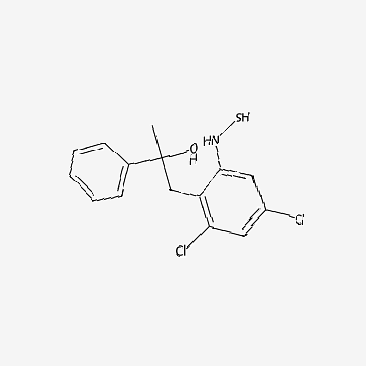 CC(O)(Cc1c(Cl)cc(Cl)cc1NS)c1ccccc1